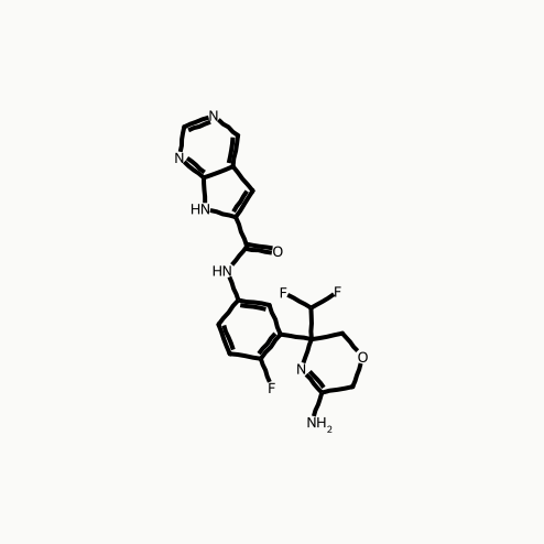 NC1=NC(c2cc(NC(=O)c3cc4cncnc4[nH]3)ccc2F)(C(F)F)COC1